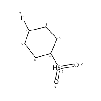 O=[SH](=O)C1CCC(F)CC1